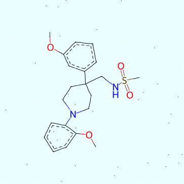 COc1cccc(C2(CNS(C)(=O)=O)CCN(c3ccccc3OC)CC2)c1